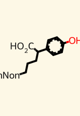 CCCCCCCCCCCCC(C(=O)O)c1ccc(O)cc1